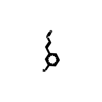 O=PC=Cc1cccc(Br)c1